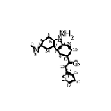 CN(C)C1CCc2c(c3cc(C(=O)Cc4cccs4)ccc3n2N)C1